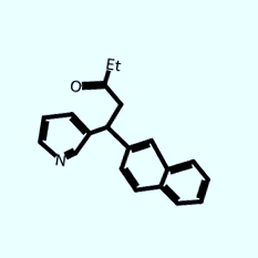 CCC(=O)CC(c1cccnc1)c1ccc2ccccc2c1